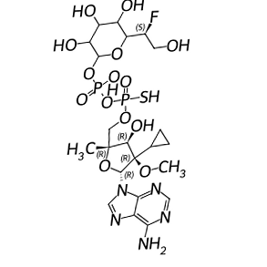 CO[C@@]1(C2CC2)[C@H](n2cnc3c(N)ncnc32)O[C@](C)(COP(=O)(S)OP(=O)(O)OC2OC([C@@H](F)CO)C(O)C(O)C2O)[C@H]1O